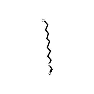 O=COCCCCCCCCCCl